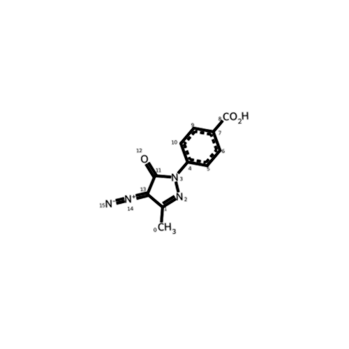 CC1=NN(c2ccc(C(=O)O)cc2)C(=O)C1=[N+]=[N-]